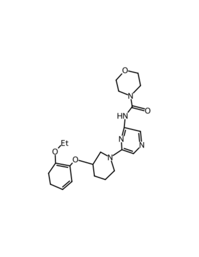 CCOC1=C(OC2CCCN(c3cncc(NC(=O)N4CCOCC4)n3)C2)C=CCC1